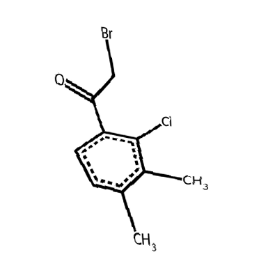 Cc1ccc(C(=O)CBr)c(Cl)c1C